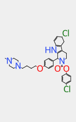 CN1CCN(CCCCOc2ccc(C3c4[nH]c5c(c4CCN3C(=O)Oc3ccc(Cl)cc3)CC(Cl)C=C5)cc2)CC1